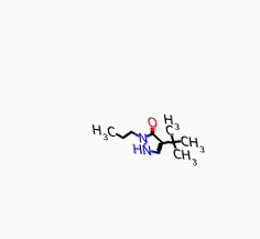 CCCn1[nH]cc(C(C)(C)C)c1=O